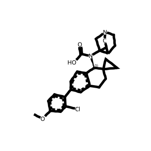 COc1ccc(-c2ccc3c(c2)CCC2(CC2)[C@@H]3N(C(=O)O)C2CN3CCC2CC3)c(Cl)c1